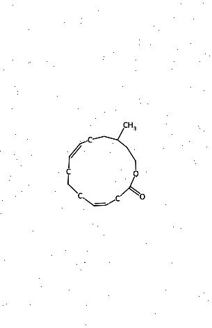 CC1CCC=CCCCC=CCC(=O)OCC1